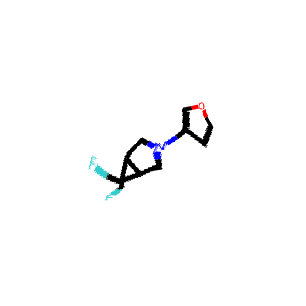 FC1(F)C2CN(C3=COCC3)CC21